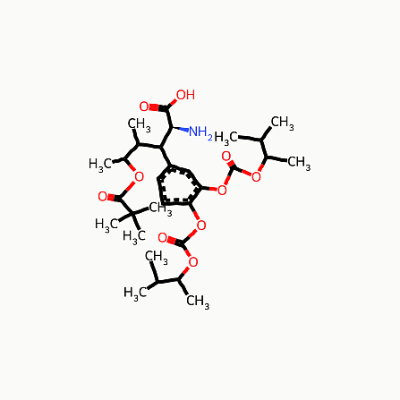 CC(C)C(C)OC(=O)Oc1ccc(C(C(C)C(C)OC(=O)C(C)(C)C)[C@H](N)C(=O)O)cc1OC(=O)OC(C)C(C)C